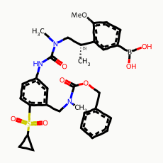 COc1ccc(B(O)O)cc1[C@H](C)CN(C)C(=O)Nc1ccc(S(=O)(=O)C2CC2)c(CN(C)C(=O)OCc2ccccc2)c1